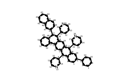 c1ccc(-c2ccc3c(-c4cccnc4)c4cc5c(cc4c(-c4cccnc4)c3c2)c(-c2cccnc2)c(-c2ccc3ccccc3c2)c2ccccc25)cc1